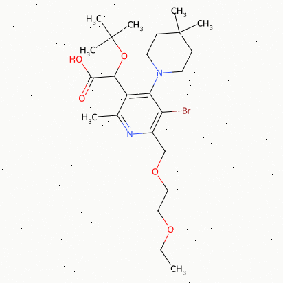 CCOCCOCc1nc(C)c(C(OC(C)(C)C)C(=O)O)c(N2CCC(C)(C)CC2)c1Br